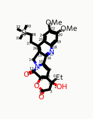 CCC1(O)CC(=O)Oc2c1cc1n(c2=O)Cc2c-1nc1cc(OC)c(OC)cc1c2CC[Si](C)(C)C